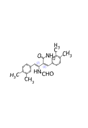 Cc1ccc(/C=C(NC=O)/C(=C/c2ccc(C)c(C)c2)C(N)=O)cc1C